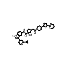 O=C(CN1CC[C@@](O)(C(=O)Nc2ccc3[nH]nc(-c4ccnc(C5CC5)c4)c3c2)C1)N1CC=C(c2ncc(-c3ncccn3)s2)CC1